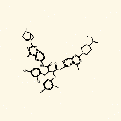 Cc1nc(N2CCC(N(C)C)CC2)nc2ccc(NC(=O)C(Oc3ccc(Cl)cc3Cl)C(Oc3ccc(Cl)cc3Cl)C(=O)Nc3ccc4nc(N5CC6CC5CN6)nc(C)c4n3)nc12